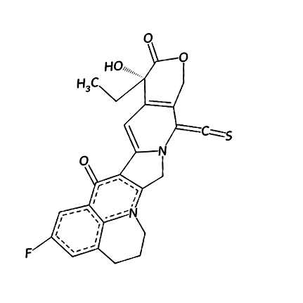 CC[C@@]1(O)C(=O)OCC2=C1C=C1c3c(n4c5c(cc(F)cc5c3=O)CCC4)CN1C2=C=S